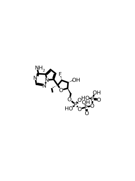 CC[C@@]1(c2ccc3c(N)ncnn23)O[C@H](COP(=O)(O)OP(=O)(O)OP(=O)(O)O)[C@@H](O)[C@H]1F